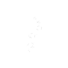 c1cc(Oc2ccc3nc(NC4CCCCC4)sc3c2)cc(-c2ccc(N3CCCCC3)nc2)n1